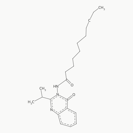 CCCCCCCCCCC(=O)Nn1c(C(C)C)nc2ccccc2c1=O